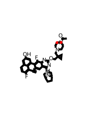 C#Cc1c(F)ccc2cc(O)cc(-c3c(F)cc4c(N5CC6CCC(C5)N6)nc(OCC5(CN6CC7CCC6CN7C(C)=O)CC5)nc4c3F)c12